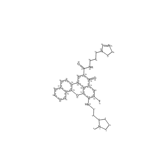 CN1CCCC1CCNc1c(F)cc2c(=O)c(C(=O)NCCCN3C=NCC3)cn3c2c1Oc1c-3ccc2ccccc12